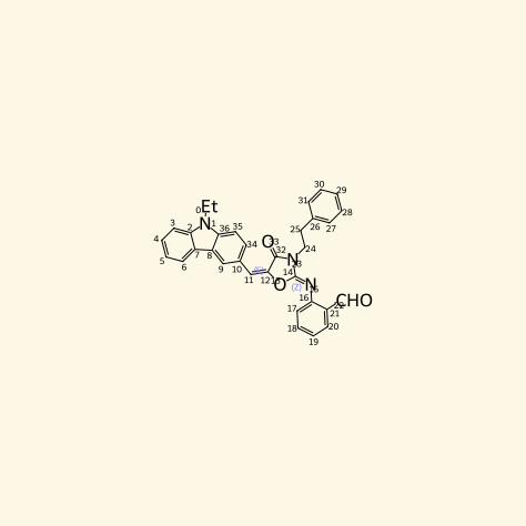 CCn1c2ccccc2c2cc(/C=C3/O/C(=N\c4ccccc4C=O)N(CCc4ccccc4)C3=O)ccc21